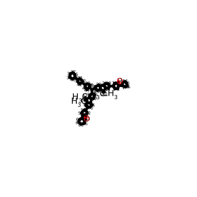 CC1(C)c2cc(-c3ccc4c(c3)oc3ccccc34)ccc2-c2ccc(C(c3ccc(-c4ccc(-c5ccccc5)cc4)cc3)c3ccc4c(c3)C(C)(C)c3cc(-c5ccc6c(c5)oc5ccccc56)ccc3-4)cc21